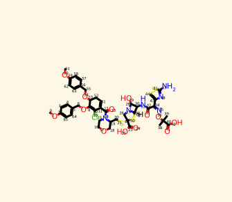 COc1ccc(COC2=C(Cl)C(C(=O)N3CCOCC3CS[C@]3(C(=O)O)CN4C(O)C(NC(=O)/C(=N\OC(C)(C)C(=O)O)c5csc(N)n5)[C@H]4S3)=CCC2OCc2ccc(OC)cc2)cc1